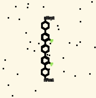 CCCCCCCC1CCC(c2ccc(C3=CCC(c4ccc(C5CCC(CCCCC)CC5)c(F)c4)CC3)c(F)c2)CC1